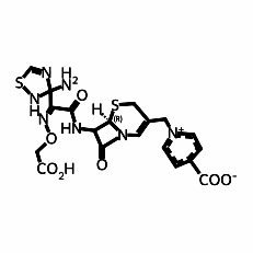 NC1(C(=NOCC(=O)O)C(=O)NC2C(=O)N3C=C(C[n+]4ccc(C(=O)[O-])cc4)CS[C@H]23)N=CSN1